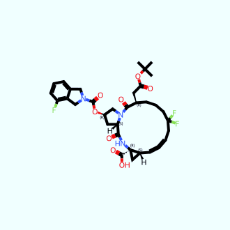 CC(C)(C)OC(=O)C[C@H]1CCCC(F)(F)CC=C=C[C@@H]2C[C@@]2(C(=O)O)NC(=O)[C@@H]2C[C@@H](OC(=O)N3Cc4cccc(F)c4C3)CN2C1=O